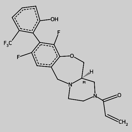 C=CC(=O)N1CCN2Cc3cc(F)c(-c4c(O)cccc4C(F)(F)F)c(F)c3OC[C@H]2C1